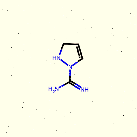 N=C(N)N1C=CCN1